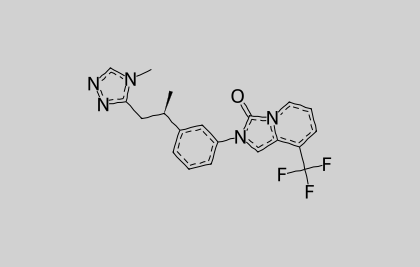 C[C@H](Cc1nncn1C)c1cccc(-n2cc3c(C(F)(F)F)cccn3c2=O)c1